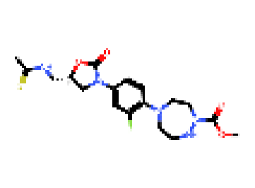 COC(=O)N1CCN(c2ccc(N3C[C@H](CNC(C)=S)OC3=O)cc2F)CCN1